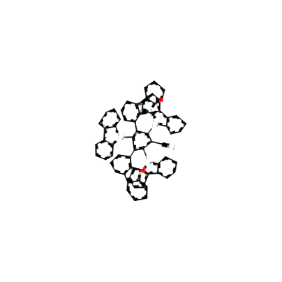 N#Cc1c(-n2c3ccccc3c3ccccc32)c(-c2cccc3c2sc2ccccc23)c(-n2c3ccccc3c3ccccc32)c(-c2cccc3c2sc2ccccc23)c1-n1c2ccccc2c2ccccc21